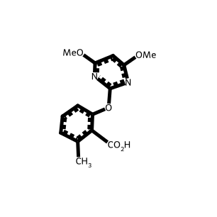 COc1cc(OC)nc(Oc2cccc(C)c2C(=O)O)n1